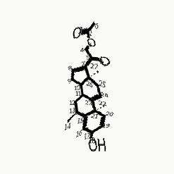 CC(=O)OCC(=O)C1=CCC2C3C[C@H](C)C4=CC(O)C=C[C@]4(C)C3=CC[C@]12C